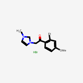 Br.CCc1cc(OC)ccc1C(=O)CN1C=CN(C)C1